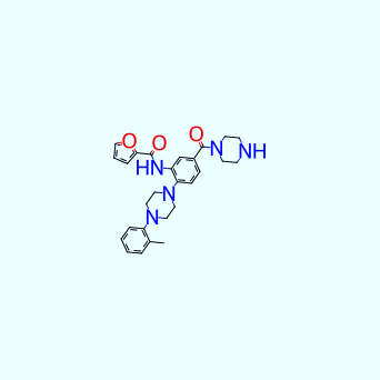 Cc1ccccc1N1CCN(c2ccc(C(=O)N3CCNCC3)cc2NC(=O)c2ccco2)CC1